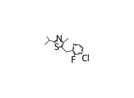 Cc1nc(C(C)C)sc1Cc1cccc(Cl)c1F